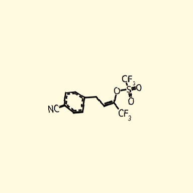 N#Cc1ccc(CC=C(OS(=O)(=O)C(F)(F)F)C(F)(F)F)cc1